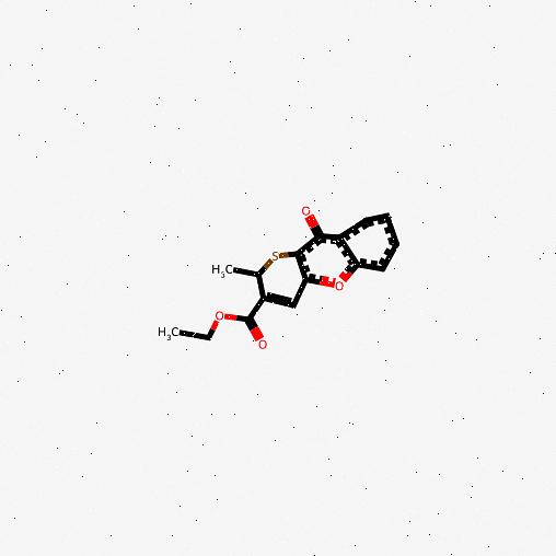 CCOC(=O)C1=Cc2oc3ccccc3c(=O)c2SC1C